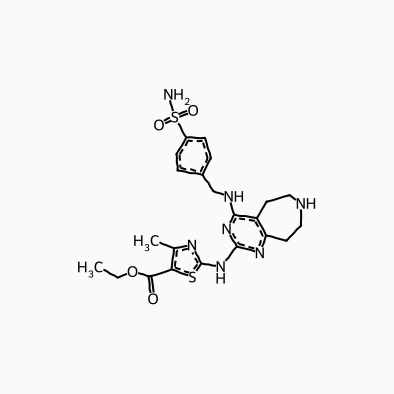 CCOC(=O)c1sc(Nc2nc3c(c(NCc4ccc(S(N)(=O)=O)cc4)n2)CCNCC3)nc1C